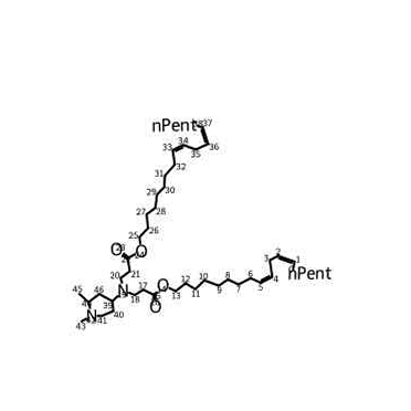 CCCCC/C=C\C/C=C\CCCCCCCCOC(=O)CCN(CCC(=O)OCCCCCCCC/C=C\C/C=C\CCCCC)C1CCN(C)C(C)C1